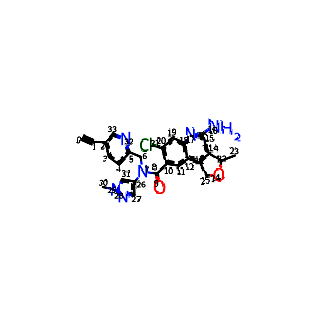 C#Cc1ccc(CN(C(=O)c2cc3c4c(c(N)nc3cc2Cl)C(C)OC4)c2cnn(C)c2)nc1